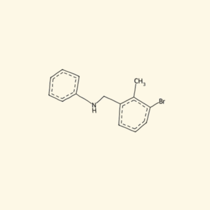 Cc1c(Br)cccc1CNc1ccccc1